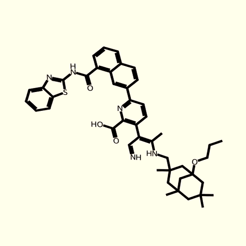 CCCOC12CC(C)(C)CC(C)(CC(C)(CN/C(C)=C(\C=N)c3ccc(-c4ccc5cccc(C(=O)Nc6nc7ccccc7s6)c5c4)nc3C(=O)O)C1)C2